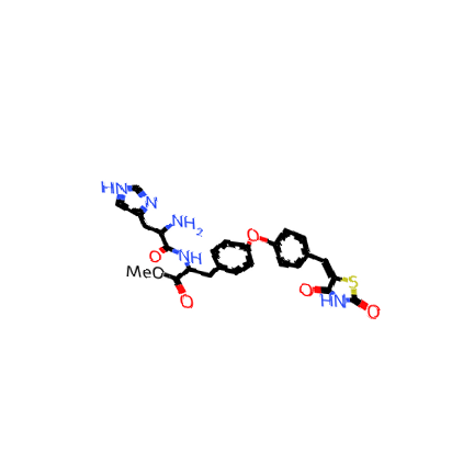 COC(=O)C(Cc1ccc(Oc2ccc(C=C3SC(=O)NC3=O)cc2)cc1)NC(=O)C(N)Cc1c[nH]cn1